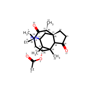 CCC(=O)O[C@@H]1C[C@@](C)(CC)C(=O)[C@H](C)[C@]23CCC(=O)C2C1(C)C(C)C(N)C3